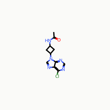 CC(=O)NC1CC(n2cnc3c(Cl)ncnc32)C1